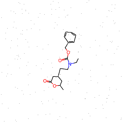 CCN(CCC1CC(=O)OC(C)C1)C(=O)OCc1ccccc1